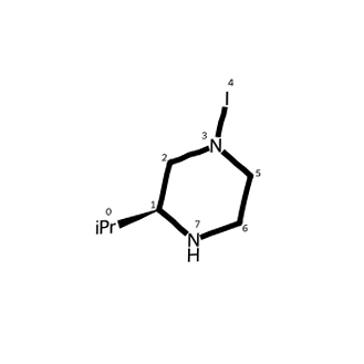 CC(C)[C@H]1CN(I)CCN1